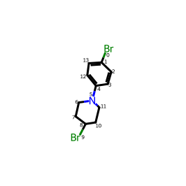 Brc1ccc(N2CCC(Br)CC2)cc1